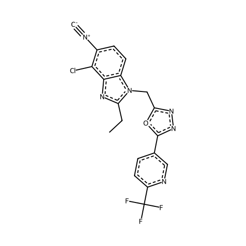 [C-]#[N+]c1ccc2c(nc(CC)n2Cc2nnc(-c3ccc(C(F)(F)F)nc3)o2)c1Cl